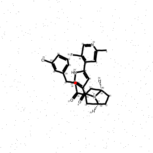 Cc1cc(-c2cc(C(=O)N3[C@@H]4CC[C@H]3CC(C(=O)NCc3cccc(Cl)c3)C4)n[nH]2)c(F)cn1